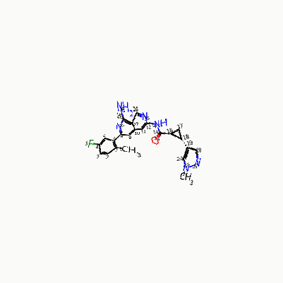 Cc1ccc(F)cc1-c1cc2cc(NC(=O)[C@H]3C[C@@H]3c3cnn(C)c3)ncc2c(N)n1